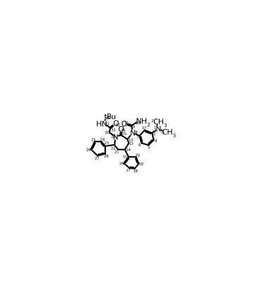 CN(C)c1cccc(N(C(N)=O)C2CC(c3ccccc3)CC(c3ccccc3)N(CC(=O)NC(C)(C)C)C2=O)c1